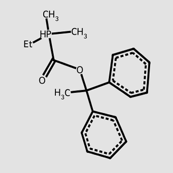 CC[PH](C)(C)C(=O)OC(C)(c1ccccc1)c1ccccc1